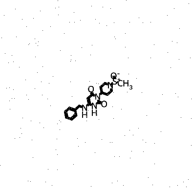 C[S+]([O-])N1CCC(n2c(=O)cc(NCc3ccccc3)[nH]c2=O)CC1